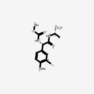 COc1ccc([C@H](NC(=O)OC(C)(C)C)C(=O)N[C@@H](C)C(=O)O)cc1I